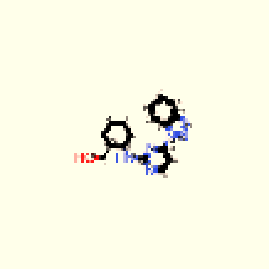 OC[C@H]1CCCC[C@H]1Nc1nccc(-n2nnc3ccccc32)n1